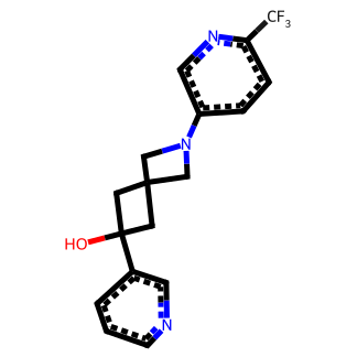 OC1(c2cccnc2)CC2(CN(c3ccc(C(F)(F)F)nc3)C2)C1